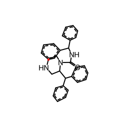 O=C(NC(c1ccccc1)c1ccccc1)N1CCNCC1C(c1ccccc1)c1ccccc1